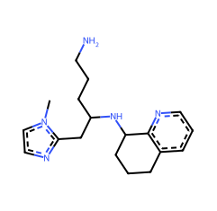 Cn1ccnc1CC(CCCN)NC1CCCc2cccnc21